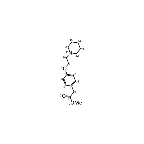 COC(=O)Cc1ccc(OCCN2CCCCC2)cc1